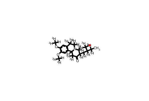 [2H]C([2H])([2H])Oc1cc2c(cc1OC([2H])([2H])[2H])C1([2H])N(C([2H])([2H])C2([2H])[2H])C([2H])([2H])C([2H])(C([2H])([2H])C([2H])(C([2H])([2H])[2H])C([2H])([2H])C)C(=O)C1([2H])[2H]